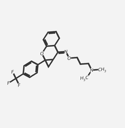 CN(C)CCCON=C1C2CC=CC=C2OC2(c3ccc(C(F)(F)F)cc3)CC12